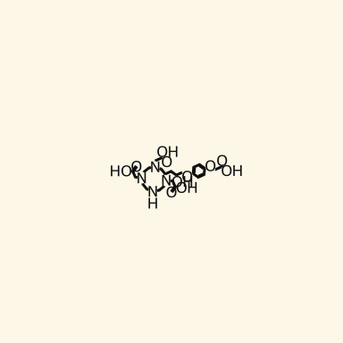 O=C(O)COc1ccc(OCC(O)CC2CN(CC(=O)O)CCN(CC(=O)O)CCNCCN2CC(=O)O)cc1